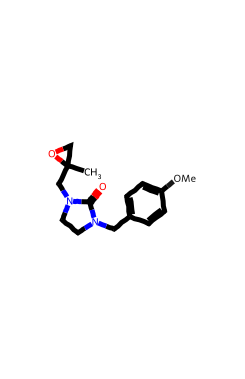 COc1ccc(CN2CCN(CC3(C)CO3)C2=O)cc1